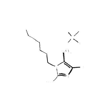 CCCCCCn1c(C)nc(C)c1C.F[B-](F)(F)F